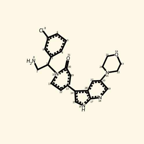 NCC(c1cccc(Cl)c1)n1ccc(-c2c[nH]c3ncc(N4CCOCC4)cc23)cc1=O